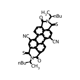 CCCC[C@H](C)N1C(=O)c2ccc3c4c(C#N)cc5c6c(ccc(c7c(C#N)cc(c2c37)C1=S)c64)C(=O)N([C@@H](C)CCCC)C5=S